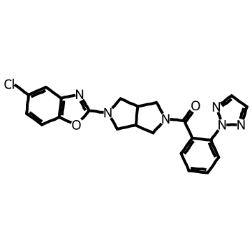 O=C(c1ccccc1-n1nccn1)N1CC2CN(c3nc4cc(Cl)ccc4o3)CC2C1